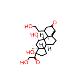 C[C@]12C[C@H](O)[C@H]3[C@@H](CCC4=CC(=O)CC(CCO)[C@@]43C)[C@@H]1CC[C@]2(O)C(=O)CO